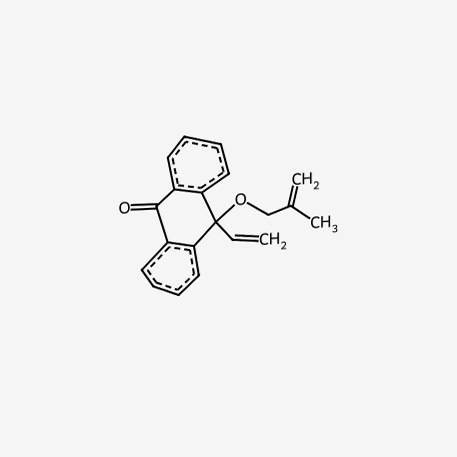 C=CC1(OCC(=C)C)c2ccccc2C(=O)c2ccccc21